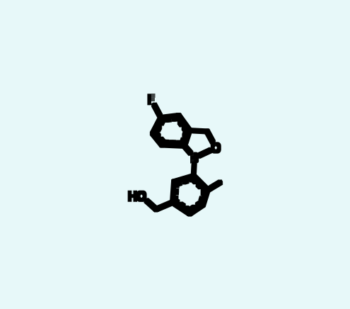 Cc1ccc(CO)cc1B1OCc2cc(F)ccc21